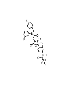 CNC(=O)Nc1ccc2c(c1)CC[C@@]21OC(=O)N(CC(=O)N(Cc2ccc(F)cc2)c2cccc(F)c2)C1=O